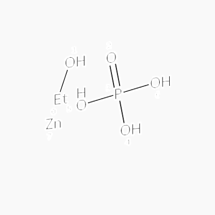 CCO.O=P(O)(O)O.[Zn]